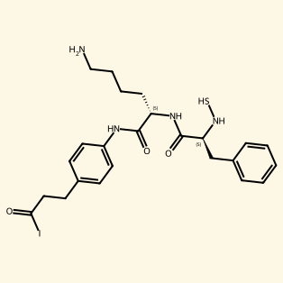 NCCCC[C@H](NC(=O)[C@H](Cc1ccccc1)NS)C(=O)Nc1ccc(CCC(=O)I)cc1